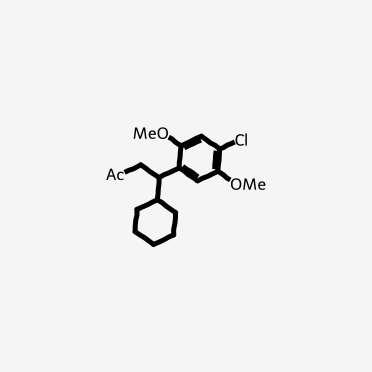 COc1cc(C(CC(C)=O)C2CCCCC2)c(OC)cc1Cl